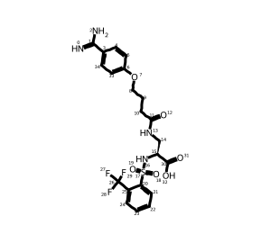 N=C(N)c1ccc(OCCCC(=O)NC[C@H](NS(=O)(=O)c2ccccc2C(F)(F)F)C(=O)O)cc1